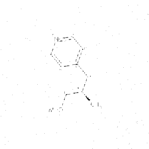 COC[C@H](C)Cc1ccncc1